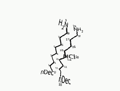 CCCCCCCCCCCCCCCCCCN.CCCCCCCCCCCCCCCCCCN.Cl